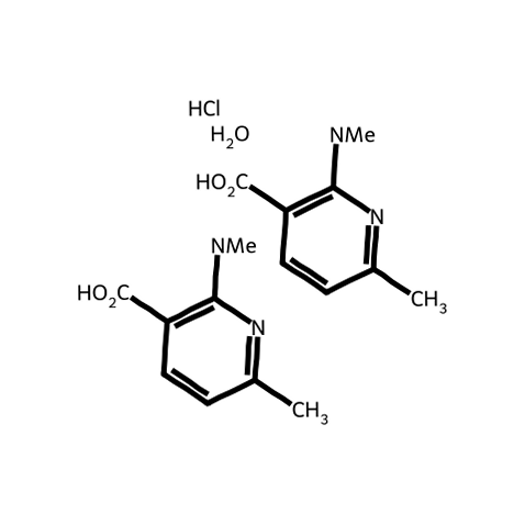 CNc1nc(C)ccc1C(=O)O.CNc1nc(C)ccc1C(=O)O.Cl.O